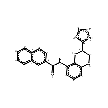 O=C(Nc1cccc2c1OC(c1nnn[nH]1)CO2)c1ccc2ccccc2c1